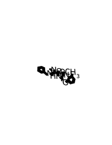 CN1C(=O)C(NC(=O)c2cn(Cc3ccccc3)cn2)COc2cccc(F)c21